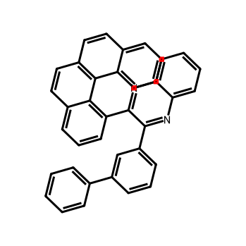 c1ccc(-c2cccc(-c3nc4ccccc4nc3-c3cccc4ccc5ccc6ccccc6c5c34)c2)cc1